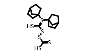 S=C(S)SSC(S)=S(C12CCC(CC1)C2)C12CCC(CC1)C2